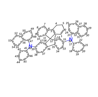 C1=CC2=C(CC1)c1ccccc1C21c2cc(N(c3ccccc3)c3cccc4ccccc34)ccc2-c2ccc(N(c3ccccc3)c3cccc4ccccc34)cc21